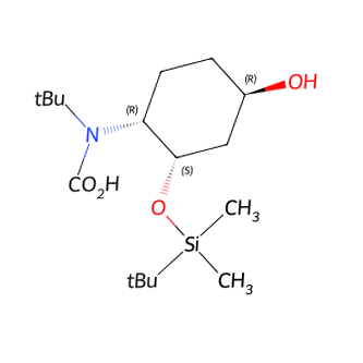 CC(C)(C)N(C(=O)O)[C@@H]1CC[C@@H](O)C[C@@H]1O[Si](C)(C)C(C)(C)C